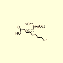 CCCCCCCCCC(=O)O.CCCCCCCCN(CCCCCCCC)CCCCCCCC